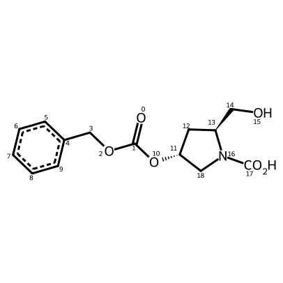 O=C(OCc1ccccc1)O[C@@H]1C[C@@H](CO)N(C(=O)O)C1